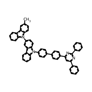 Cc1ccc2c(c1)c1ccccc1n2-c1ccc2c(c1)c1ccccc1n2-c1ccc(-c2ccc(-c3cc(-c4ccccc4)nc(-c4ccccc4)n3)cc2)cc1